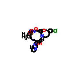 C[C@@H]1[C@@H](C)C/C=C/[C@@](O)(CN2CCN3CCCC[C@@H]3C2)[C@@H]2CC[C@H]2CN2CCCCc3cc(Cl)ccc3COc3ccc(cc32)C(=O)NS1(=O)=O